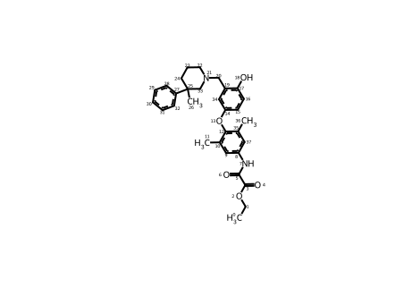 CCOC(=O)C(=O)Nc1cc(C)c(Oc2ccc(O)c(CN3CCCC(C)(c4ccccc4)C3)c2)c(C)c1